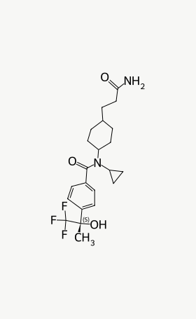 C[C@](O)(c1ccc(C(=O)N(C2CCC(CCC(N)=O)CC2)C2CC2)cc1)C(F)(F)F